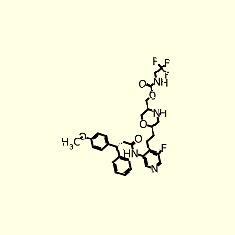 COc1ccc([C@H](CC(=O)Nc2cncc(F)c2CC[C@@H]2CN[C@H](COC(=O)NCC(F)(F)F)CO2)c2ccccc2)cc1